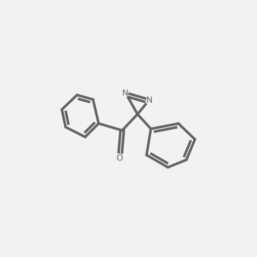 O=C(c1ccccc1)C1(c2ccccc2)N=N1